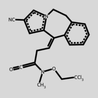 CN(OCC(Cl)(Cl)Cl)C(=C=O)CC=C1c2ccccc2CCn2cc(C#N)cc21